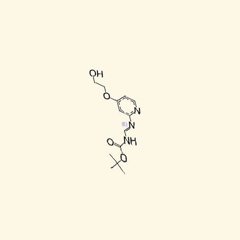 CC(C)(C)OC(=O)N/C=N/c1cc(OCCO)ccn1